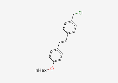 CCCCCCOc1ccc(C=Cc2ccc(CCl)cc2)cc1